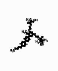 C=C(CO)C(=O)OCCOc1cc(OCCOC(=O)C(C)(C)CO)cc(-c2ccc(C3CCC(CCCCC)CC3)cc2)c1CC